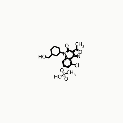 CS(=O)(=O)O.Cc1onc2c1c(=O)n(C1CCCC(CO)C1)c1cccc(Cl)c21